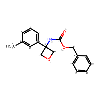 O=C(NC1(c2cccc(C(=O)O)c2)COC1)OCc1ccccc1